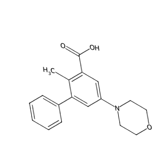 Cc1c(C(=O)O)cc(N2CCOCC2)cc1-c1ccccc1